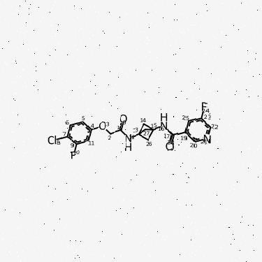 O=C(COc1ccc(Cl)c(F)c1)NC12CC(NC(=O)c3cncc(F)c3)(C1)C2